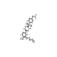 CC(C)Sc1ccc(S(=O)(=O)N2CCN(c3ccc(Cl)c(OCOC=O)c3)CC2)cc1